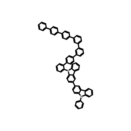 c1ccc(-c2ccc(-c3ccc(-c4cccc(-c5cccc(-c6ccc(-c7ccccc7-n7c8ccccc8c8cc(-c9ccc%10c(c9)c9ccccc9n%10-c9ccccc9)ccc87)cc6)c5)c4)cc3)cc2)cc1